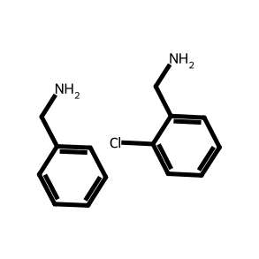 NCc1ccccc1.NCc1ccccc1Cl